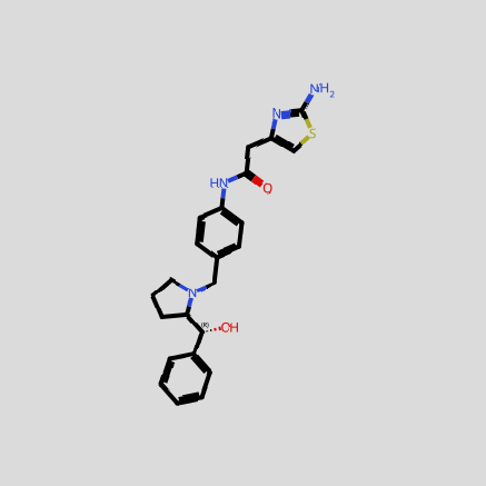 Nc1nc(CC(=O)Nc2ccc(CN3CCCC3[C@H](O)c3ccccc3)cc2)cs1